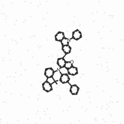 CC1(C)c2ccccc2-c2cccc(N(c3ccc(-c4ccccc4)cc3)c3ccc(-c4ccc5c(c4)c4ccccc4n5-c4ccccc4)c4oc5ccccc5c34)c21